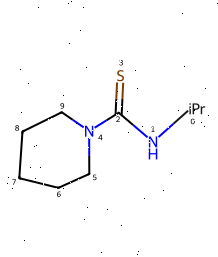 CC(C)NC(=S)N1CCCCC1